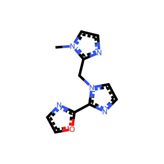 Cn1ccnc1Cn1ccnc1-c1ncco1